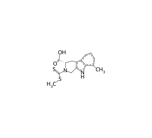 CSC(=S)N1Cc2[nH]c3c(C)cccc3c2C[C@H]1C(=O)O